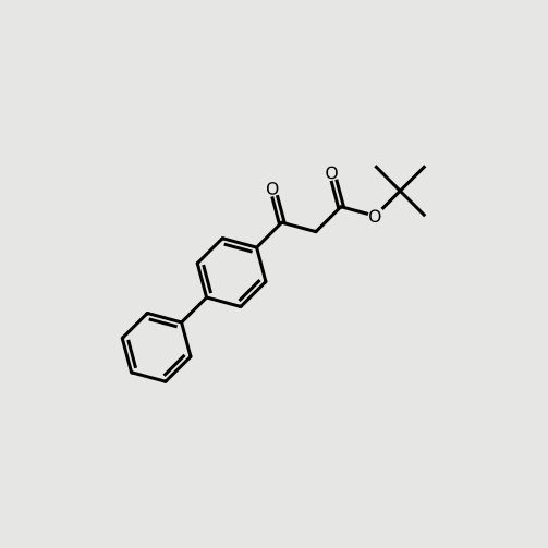 CC(C)(C)OC(=O)CC(=O)c1ccc(-c2ccccc2)cc1